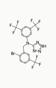 FC(F)(F)c1cc(N(Cc2cc(C(F)(F)F)ccc2Br)c2nn[nH]n2)cc(C(F)(F)F)c1